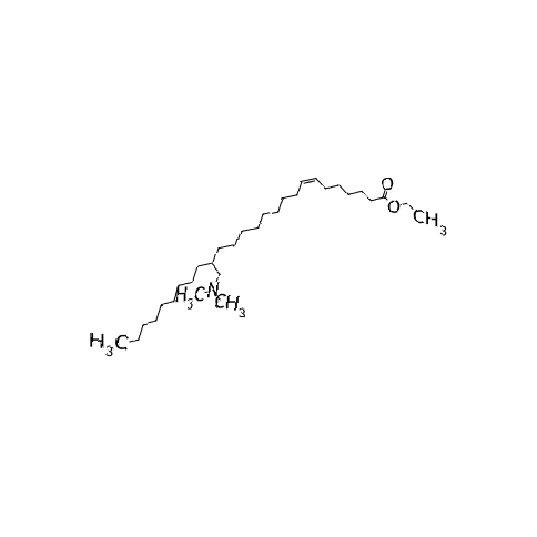 CCCCCCCCCC(CCCCCCCC/C=C\CCCCCC(=O)OCC)CN(C)C